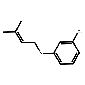 CCc1cccc(SCC=C(C)C)c1